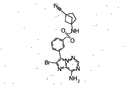 N#CC12CCC(NS(=O)(=O)c3cccc(-c4c(Br)nc5c(N)ncnn45)c3)(C1)C2